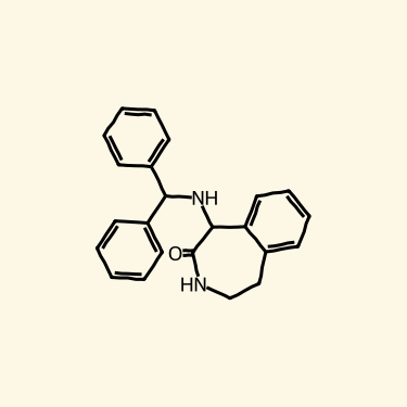 O=C1NCCc2ccccc2C1NC(c1ccccc1)c1ccccc1